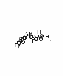 COC(=O)Nc1ccc(F)c(C2CCN(C(C)c3ccc(S(=O)(=O)c4ccc(F)c(F)c4)cc3)CC2)c1